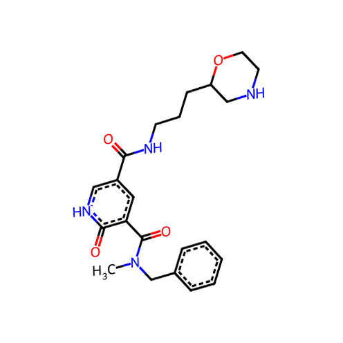 CN(Cc1ccccc1)C(=O)c1cc(C(=O)NCCCC2CNCCO2)c[nH]c1=O